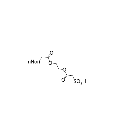 CCCCCCCCCCC(=O)OCCOC(=O)CS(=O)(=O)O